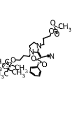 CC(C)(C)[Si](C)(C)OCCCN1CCN(CCCOS(C)(=O)=O)/C1=C(\C#N)S(=O)(=O)c1ccccc1